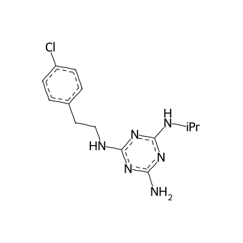 CC(C)Nc1nc(N)nc(NCCc2ccc(Cl)cc2)n1